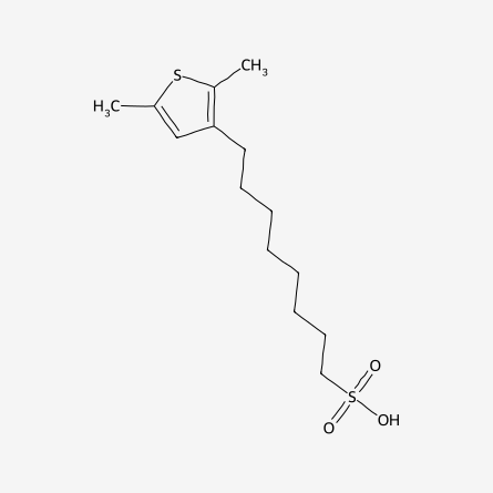 Cc1cc(CCCCCCCCS(=O)(=O)O)c(C)s1